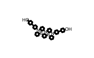 Oc1ccc(-c2ccc(N3c4ccccc4B4c5cccc6c5N(c5cccc3c54)c3cccc4c3B6c3ccccc3N4c3ccc(-c4ccc(O)cc4)cc3)cc2)cc1